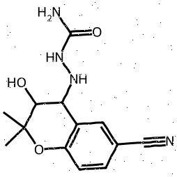 CC1(C)Oc2ccc(C#N)cc2C(NNC(N)=O)C1O